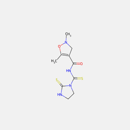 CC1=C(C(=O)NC(=S)N2CCNC2=S)CN(C)O1